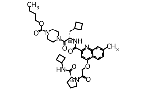 CCCCOC(=O)N1CCN(C(=O)[C@H](CC2CCC2)NC(=O)c2cc(OCC(=O)N3CCC[C@H]3C(=O)NC3CCC3)c3ccc(C)cc3n2)CC1